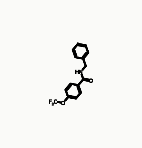 O=C(NCc1cc[c]cc1)c1ccc(OC(F)(F)F)cc1